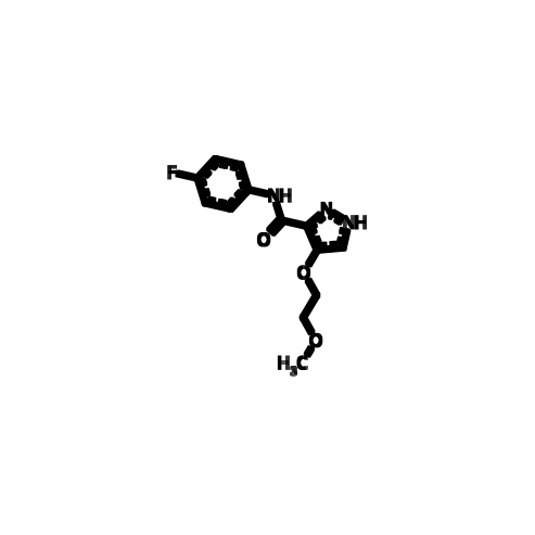 COCCOc1c[nH]nc1C(=O)Nc1ccc(F)cc1